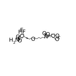 CC1(C)OCc2cc([C@@H]3CN(CCCCCCOCCC#Cc4cc(C(F)(F)F)cc(S(N)(=O)=O)c4)C(=O)O3)ccc2O1